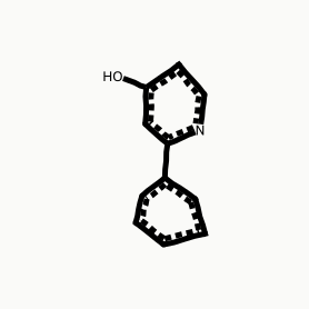 Oc1ccnc(-c2ccccc2)c1